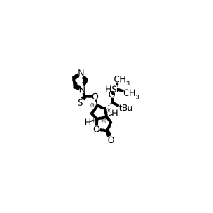 C[SiH](C)OC([C@@H]1[C@H]2CC(=O)O[C@H]2C[C@H]1OC(=S)n1ccnc1)C(C)(C)C